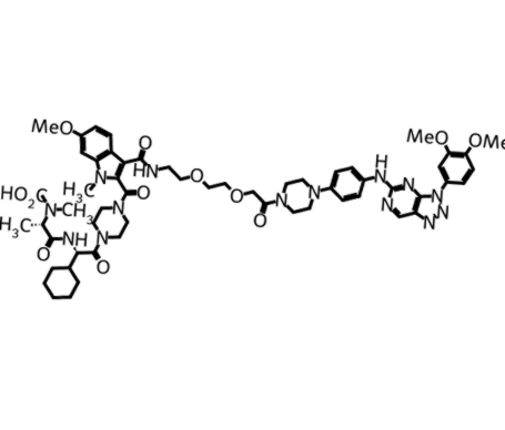 COc1ccc2c(C(=O)NCCOCCOCC(=O)N3CCN(c4ccc(Nc5ncc6nnn(-c7ccc(OC)c(OC)c7)c6n5)cc4)CC3)c(C(=O)N3CCN(C(=O)[C@@H](NC(=O)[C@H](C)N(C)C(=O)O)C4CCCCC4)CC3)n(C)c2c1